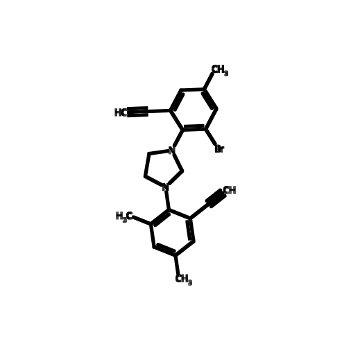 C#Cc1cc(C)cc(C)c1N1CCN(c2c(Br)cc(C)cc2C#C)C1